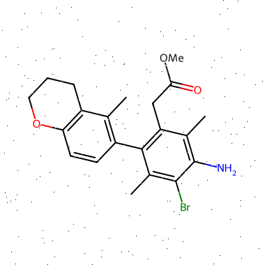 COC(=O)Cc1c(C)c(N)c(Br)c(C)c1-c1ccc2c(c1C)CCCO2